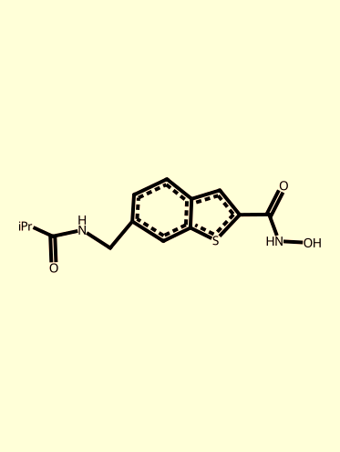 CC(C)C(=O)NCc1ccc2cc(C(=O)NO)sc2c1